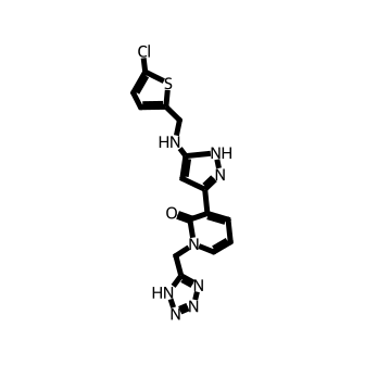 O=c1c(-c2cc(NCc3ccc(Cl)s3)[nH]n2)cccn1Cc1nnn[nH]1